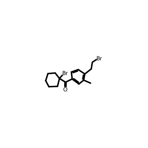 Cc1cc(C(=O)C2(Br)CCCCC2)ccc1CCBr